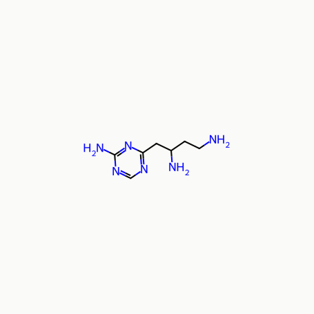 NCCC(N)Cc1ncnc(N)n1